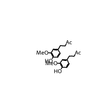 COc1cc(CCC(C)=O)ccc1O.COc1cc(CCC(C)=O)ccc1O